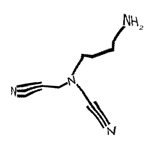 N#CN(C#N)CCN